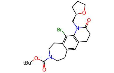 CC(C)(C)OC(=O)N1CCc2cc3c(c(Br)c2CC1)N(C[C@H]1CCCO1)C(=O)CC3